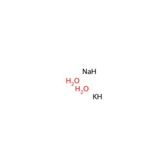 O.O.[KH].[NaH]